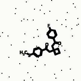 CSc1ccc(C(=O)CC2(CC(=O)c3ccc(F)cc3)CCC2)cc1